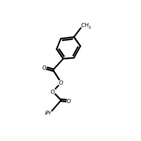 Cc1ccc(C(=O)OOC(=O)C(C)C)cc1